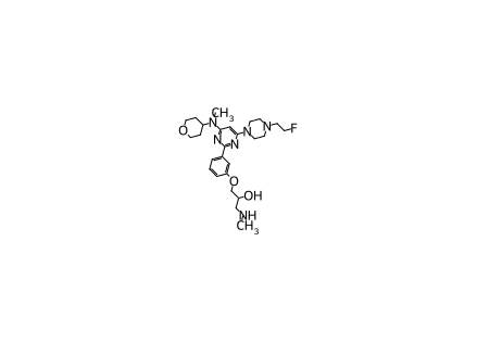 CNCC(O)COc1cccc(-c2nc(N3CCN(CCF)CC3)cc(N(C)C3CCOCC3)n2)c1